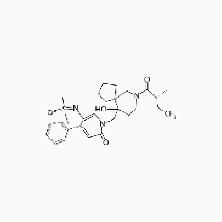 C[C@H](CC(F)(F)F)C(=O)N1CCC(O)(Cn2cc(N=S(C)(C)=O)c(-c3ccccc3)cc2=O)C2(CCCC2)C1